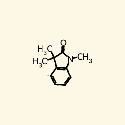 CN1C(=O)C(C)(C)c2[c]cccc21